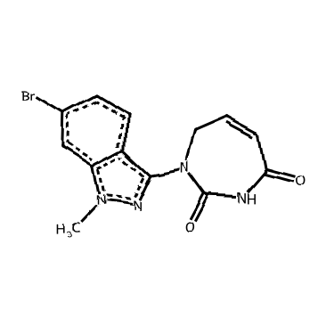 Cn1nc(N2CC=CC(=O)NC2=O)c2ccc(Br)cc21